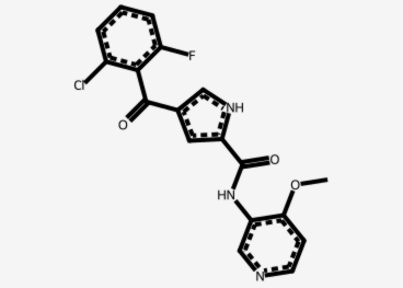 COc1ccncc1NC(=O)c1cc(C(=O)c2c(F)cccc2Cl)c[nH]1